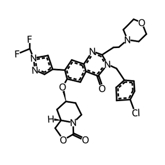 O=C1OC[C@@H]2C[C@@H](Oc3cc4c(=O)n(Cc5ccc(Cl)cc5)c(CCN5CCOCC5)nc4cc3-c3cnn(C(F)F)c3)CCN12